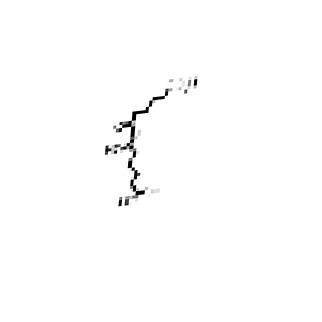 O=C(O)CCCCC(=O)OC(O)CCCCC(O)O